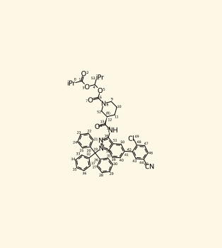 CC(C)C(=O)OC(OC(=O)N1CCC[C@@H](C(=O)Nc2nn(C(c3ccccc3)(c3ccccc3)c3ccccc3)c3ccc(-c4cc(C#N)ccc4Cl)cc23)C1)C(C)C